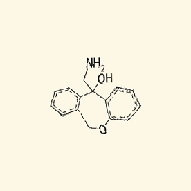 NCC1(O)c2ccccc2COc2ccccc21